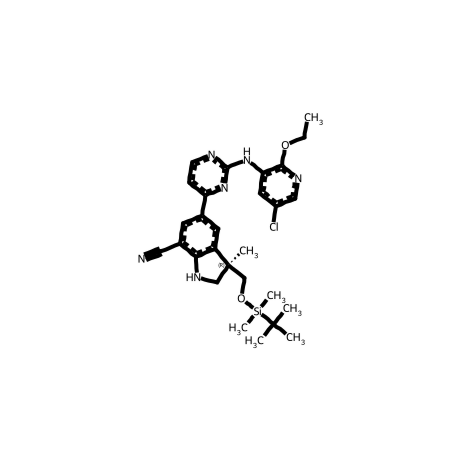 CCOc1ncc(Cl)cc1Nc1nccc(-c2cc(C#N)c3c(c2)[C@@](C)(CO[Si](C)(C)C(C)(C)C)CN3)n1